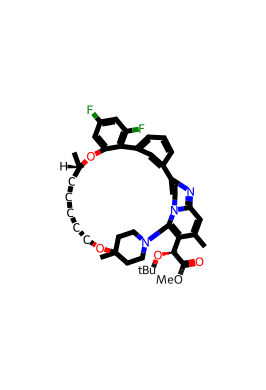 COC(=O)[C@@H](OC(C)(C)C)c1c(C)cc2nc3cn2c1N1CCC(C)(CC1)OCCCCC[C@H](C)Oc1cc(F)cc(F)c1-c1cccc-3c1